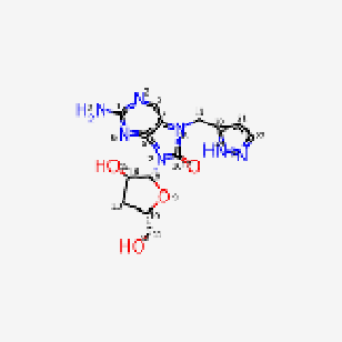 Nc1ncc2c(n1)n([C@@H]1O[C@H](CO)C[C@H]1O)c(=O)n2Cc1ccn[nH]1